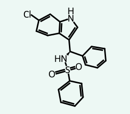 O=S(=O)(N[C@H](c1ccccc1)c1c[nH]c2cc(Cl)ccc12)c1ccccc1